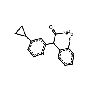 NC(=O)C(c1cc(C2CC2)ccn1)c1ccccc1F